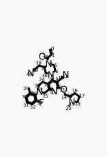 C=CC(=O)N1CCN(c2c(C#N)c(OCC3CCCN3C)nc3c2CCN(c2c(C)cccc2F)C3)CC1CC#N